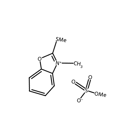 COS(=O)(=O)[O-].CSc1oc2ccccc2[n+]1C